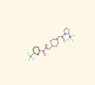 O=C(NCC1CCN(CC(=O)N2CCC[C@H]2C(F)(F)F)CC1)c1cccc(C(F)(F)F)c1